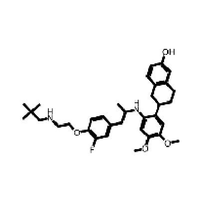 COc1cc(NC(C)Cc2ccc(OCCNCC(C)(C)C)c(F)c2)c(C2CCc3cc(O)ccc3C2)cc1OC